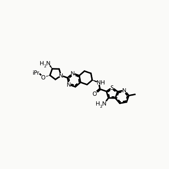 Cc1ccc2c(N)c(C(=O)N[C@@H]3CCc4nc(N5C[C@H](OC(C)C)[C@@H](N)C5)ncc4C3)sc2n1